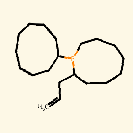 C=CCC1CCCCCCCP1C1CCCCCCCC1